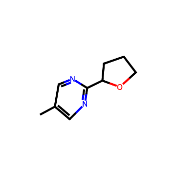 Cc1cnc(C2CCCO2)nc1